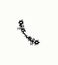 O=C(Nc1nnc(CCSCCc2nnc(NC(=O)Oc3ccccc3)s2)s1)Oc1ccccc1